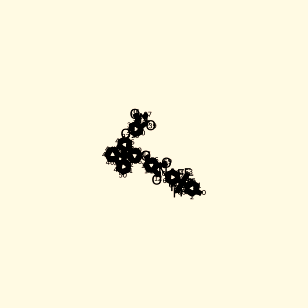 Cc1ccc(C(c2ccc(N3C(=O)c4ccc(Oc5ccc(C6(c7ccc(Oc8ccc9c(c8)C(=O)N(C)C9=O)cc7)c7ccccc7-c7ccccc76)cc5)cc4C3=O)cc2)(C(F)(F)F)C(F)(F)F)cc1